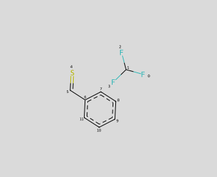 FC(F)F.S=Cc1ccccc1